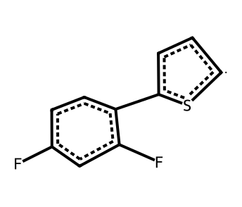 Fc1ccc(-c2cc[c]s2)c(F)c1